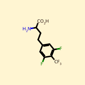 NC(CCc1cc(F)c(C(F)(F)F)c(F)c1)C(=O)O